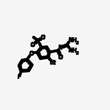 CCc1cc(Oc2ccc(F)cc2)c(S(C)(=O)=O)cc1C(=O)N=C(N)N